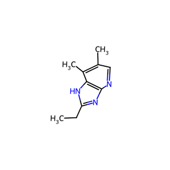 CCc1nc2ncc(C)c(C)c2[nH]1